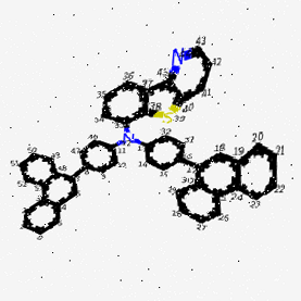 c1ccc2c(c1)cc(-c1ccc(N(c3ccc(-c4cc5ccccc5c5ccccc45)cc3)c3cccc4c3sc3cccnc34)cc1)c1ccccc12